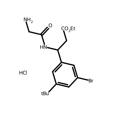 CCOC(=O)CC(NC(=O)CN)c1cc(Br)cc(C(C)(C)C)c1.Cl